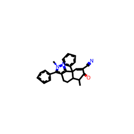 CC1C(=O)C(C#N)=CC2(c3ccccc3)c3nn(C)c(-c4ccccc4)c3CCC12